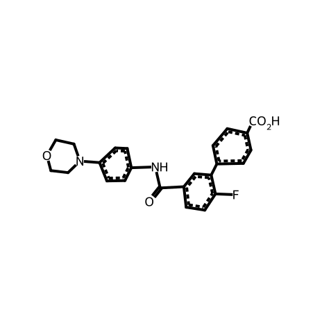 O=C(O)c1ccc(-c2cc(C(=O)Nc3ccc(N4CCOCC4)cc3)ccc2F)cc1